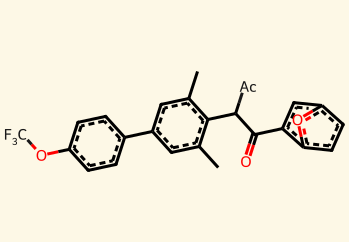 CC(=O)C(C(=O)c1cc2ccc1o2)c1c(C)cc(-c2ccc(OC(F)(F)F)cc2)cc1C